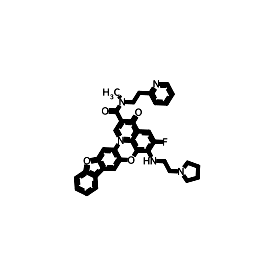 CN(CCc1ccccn1)C(=O)c1cn2c3c(c(NCCN4CCCC4)c(F)cc3c1=O)Oc1cc3c(cc1-2)oc1ccccc13